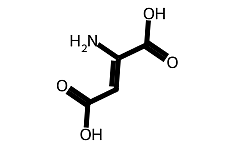 N/C(=C\C(=O)O)C(=O)O